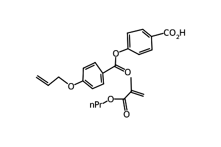 C=C(C)C(=O)OCCC.C=CCOc1ccc(C(=O)Oc2ccc(C(=O)O)cc2)cc1